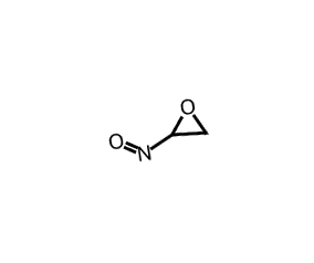 O=NC1CO1